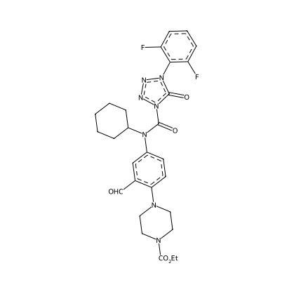 CCOC(=O)N1CCN(c2ccc(N(C(=O)n3nnn(-c4c(F)cccc4F)c3=O)C3CCCCC3)cc2C=O)CC1